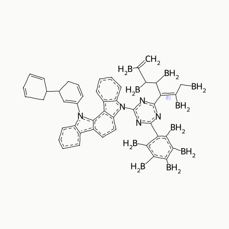 BC/C(B)=C(/c1nc(-c2c(B)c(B)c(B)c(B)c2B)nc(-n2c3ccccc3c3c4c(ccc32)c2ccccc2n4C2=CC(C3C=CC=CC3)CC=C2)n1)C(B)C(B)C(B)=C